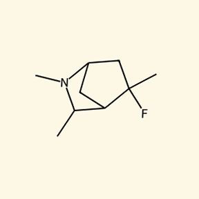 CC1C2CC(CC2(C)F)N1C